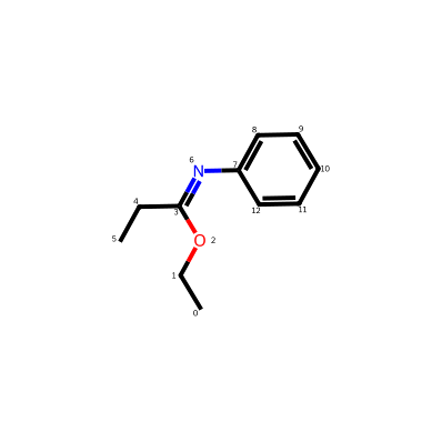 CCO/C(CC)=N\c1ccccc1